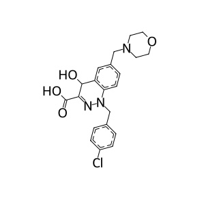 O=C(O)C1=NN(Cc2ccc(Cl)cc2)c2ccc(CN3CCOCC3)cc2C1O